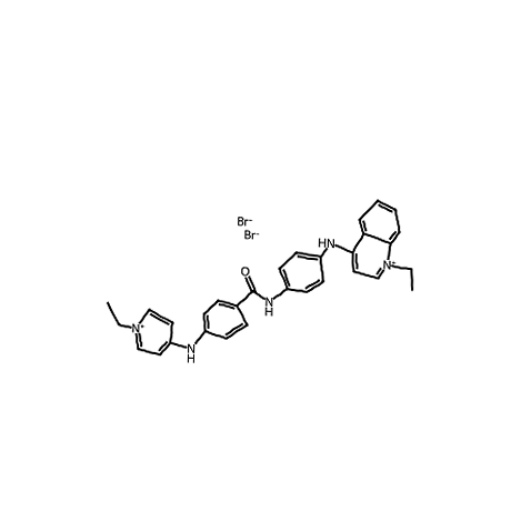 CC[n+]1ccc(Nc2ccc(C(=O)Nc3ccc(Nc4cc[n+](CC)c5ccccc45)cc3)cc2)cc1.[Br-].[Br-]